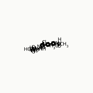 CNS(C)(=O)=Nc1ccc(-c2ccc(-c3nc4[nH]c(O[C@@H]5CO[C@H]6[C@@H]5OC[C@H]6O)nc4cc3Cl)cc2)cc1